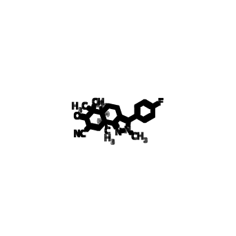 Cn1nc2c(c1-c1ccc(F)cc1)CC[C@H]1C(C)(C)C(=O)C(C#N)=C[C@]21C